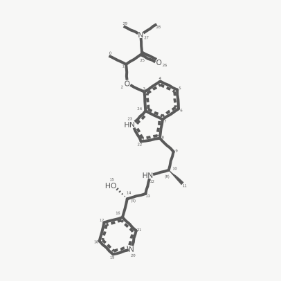 CC(Oc1cccc2c(C[C@@H](C)NC[C@@H](O)c3cccnc3)c[nH]c12)C(=O)N(C)C